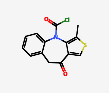 Cc1scc2c1N(C(=O)Cl)c1ccccc1CC2=O